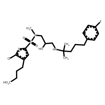 CN(CC(O)CNC(C)(C)CCCc1ccc(F)cc1)S(=O)(=O)c1cc(CCCC(=O)O)c(Cl)s1